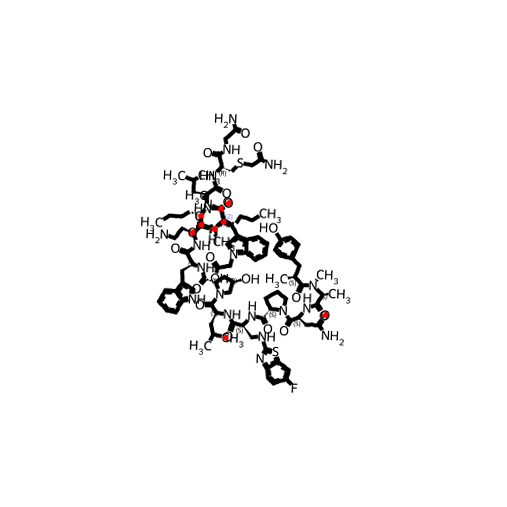 CCCC[C@@H](C(=O)N(C)[C@@H](CCCC)C(=O)N[C@@H](CC(C)C)C(=O)N[C@@H](CSCC(N)=O)C(=O)NCC(N)=O)N(C)C(=O)/C(=C/c1cn(CC(=O)O)c2ccccc12)NC(=O)[C@H](CCN)NC(=O)[C@H](Cc1c[nH]c2ccccc12)NC(=O)[C@@H]1C[C@@H](O)CN1C(=O)[C@H](CC(C)C)NC(=O)[C@H](CNc1nc2ccc(F)cc2s1)NC(=O)[C@@H]1CCCN1C(=O)[C@H](CC(N)=O)NC(=O)[C@H](C)N(C)C(=O)[C@@H](C)Cc1ccc(O)cc1